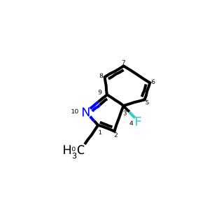 CC1=CC2(F)C=CC=CC2=N1